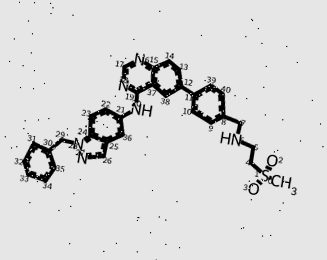 CS(=O)(=O)CCNCc1ccc(-c2ccc3ncnc(Nc4ccc5c(cnn5Cc5ccccc5)c4)c3c2)cc1